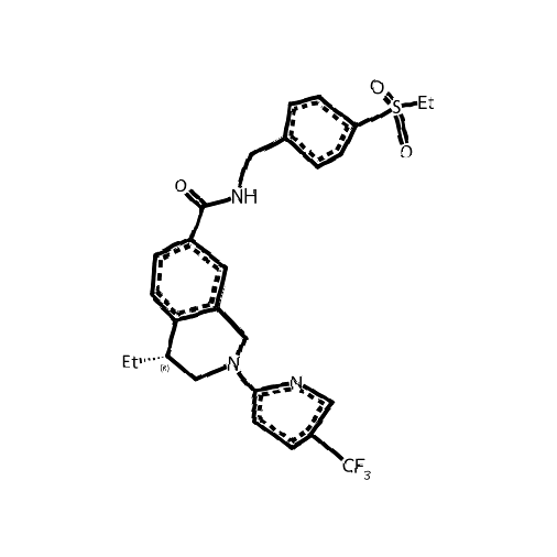 CC[C@H]1CN(c2ccc(C(F)(F)F)cn2)Cc2cc(C(=O)NCc3ccc(S(=O)(=O)CC)cc3)ccc21